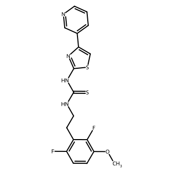 COc1ccc(F)c(CCNC(=S)Nc2nc(-c3cccnc3)cs2)c1F